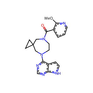 COc1ncccc1C(=O)N1CCN(c2ncnc3[nH]ccc23)CC2(CC2)C1